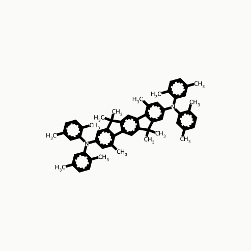 Cc1ccc(C)c(N(c2cc(C)c3c(c2)C(C)(C)c2cc4c(cc2-3)C(C)(C)c2cc(N(c3cc(C)ccc3C)c3cc(C)ccc3C)cc(C)c2-4)c2cc(C)ccc2C)c1